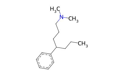 CCCC(CCCN(C)C)c1ccccc1